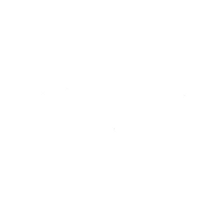 CC(CC(C[PH](=O)CC(P=O)P=O)S(=O)(=O)O)C(=O)O